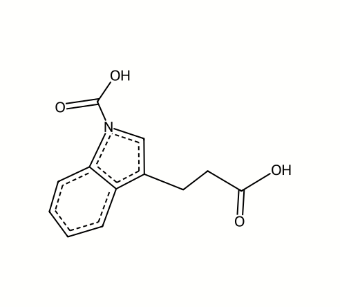 O=C(O)CCc1cn(C(=O)O)c2ccccc12